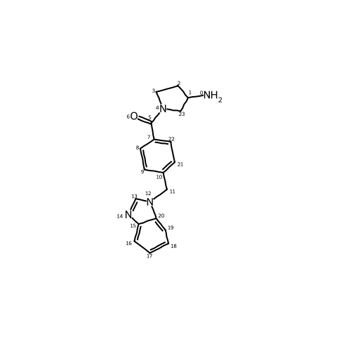 NC1CCN(C(=O)c2ccc(Cn3cnc4ccccc43)cc2)C1